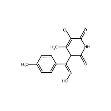 CC1=C(Cl)C(=O)NC(=O)C1C(=NO)c1ccc(C)cc1